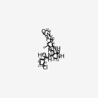 Cc1cc(C(F)(F)CN2CCOCC2)cc2[nH]c(-c3c(NC[C@H](O)c4cccc(Cl)c4)cc[nH]c3=O)nc12